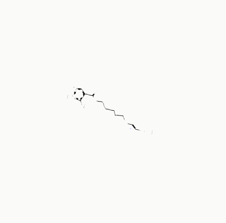 CCOC(=O)/C=C/OCCCCCOC(=O)c1cn[nH]c1N